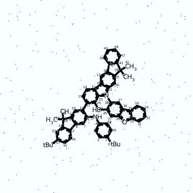 CC(C)(C)c1ccc(Nc2cc3c(cc2-c2ccc4c5cc6c(cc5n5c4c2Bc2cc4oc7ccccc7c4cc2-5)C(C)(C)c2ccccc2-6)C(C)(C)c2cc(C(C)(C)C)ccc2-3)cc1